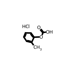 Cc1ccccc1OC(=O)O.Cl